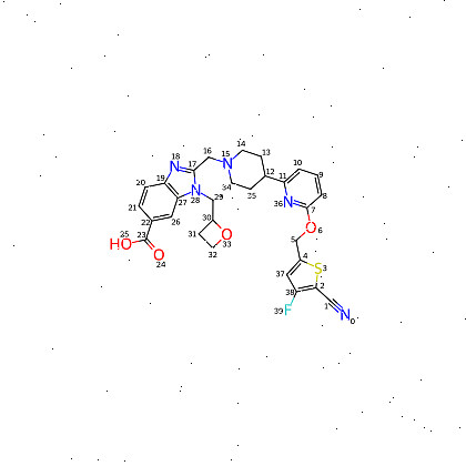 N#Cc1sc(COc2cccc(C3CCN(Cc4nc5ccc(C(=O)O)cc5n4CC4CCO4)CC3)n2)cc1F